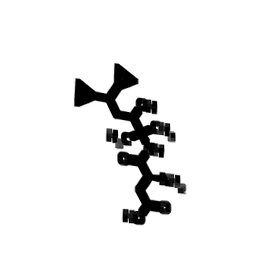 CC(C)(NC(=O)[C@@H](N)CC(=O)O)C(O)CC(C1CC1)C1CC1